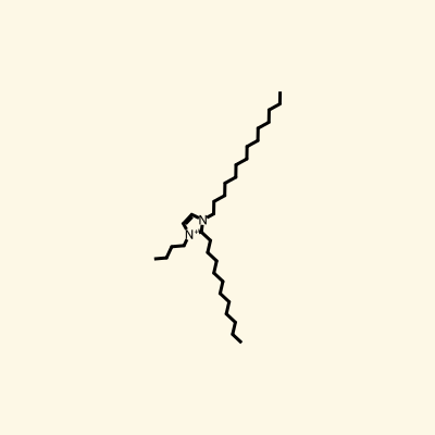 CCCCCCCCCCCCCCn1cc[n+](CCCC)c1CCCCCCCCCCC